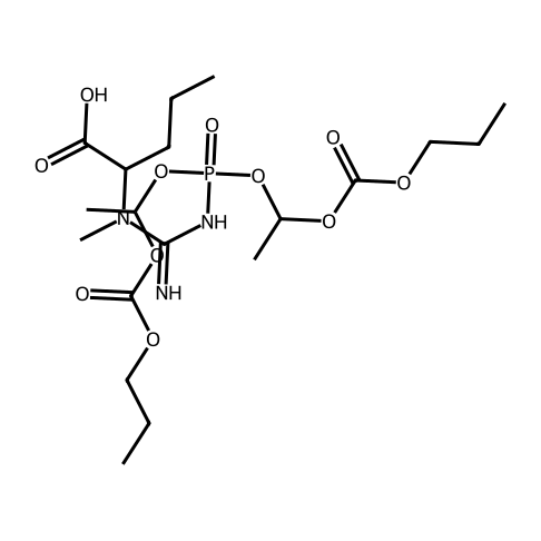 CCCOC(=O)OC(C)OP(=O)(NC(=N)N(C)C(CCC)C(=O)O)OC(C)OC(=O)OCCC